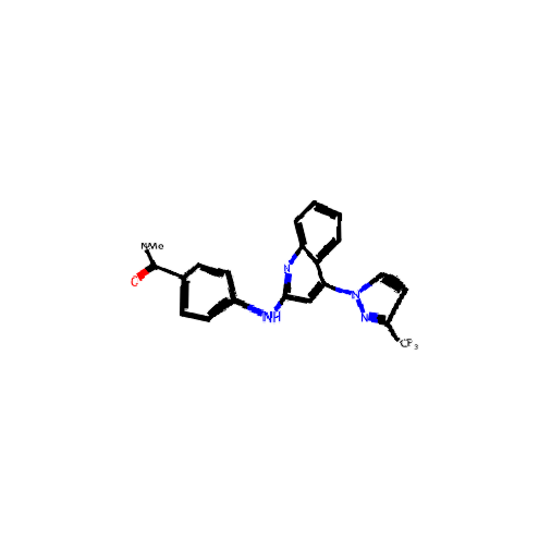 CNC(=O)c1ccc(Nc2cc(-n3ccc(C(F)(F)F)n3)c3ccccc3n2)cc1